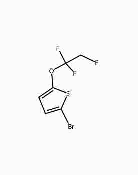 FCC(F)(F)Oc1ccc(Br)s1